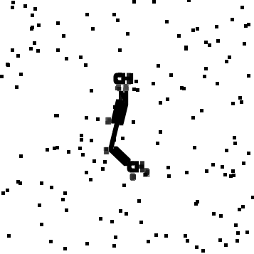 C=CC#N.[CH]